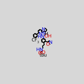 CC(C)(C)OC(=O)NCCCc1ccc(NC(O)N2c3nc(-c4cccc(C(F)(F)F)c4)ccc3N3CC[C@H]2C3)cc1-c1cnco1